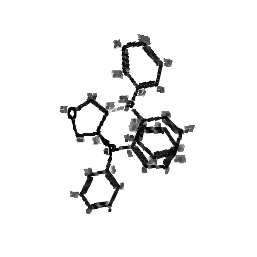 c1ccc(P(c2ccccc2)[C@H]2COC[C@@H]2P(c2ccccc2)c2ccccc2)cc1